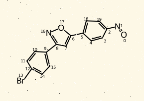 O=Nc1ccc(-c2cc(-c3ccc(Br)cc3)no2)cc1